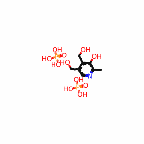 Cc1ncc(CO)c(CO)c1O.O=P(O)(O)O.O=P(O)(O)O